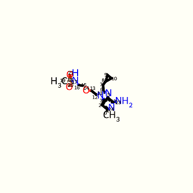 Cc1cc2c(nc(CC3CC3)n2CCOCCNS(C)(=O)=O)c(N)n1